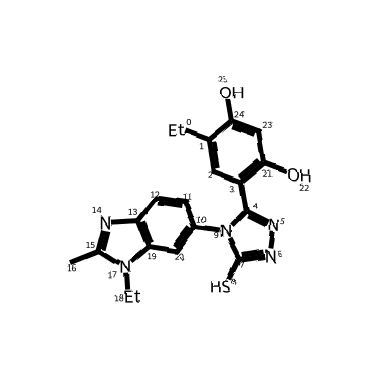 CCc1cc(-c2nnc(S)n2-c2ccc3nc(C)n(CC)c3c2)c(O)cc1O